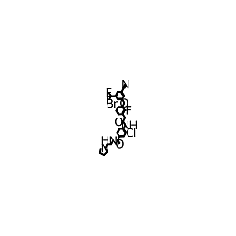 N#Cc1cc(Oc2c(Br)ccc(CC(=O)Nc3ccc(C(=O)NCCN4CCCC4)cc3Cl)c2F)cc(C(F)F)c1